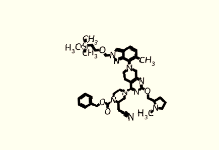 Cc1ccc2cn(COCC[Si](C)(C)C)nc2c1N1CCc2c(nc(OCC3CCCN3C)nc2N2CCN(C(=O)OCc3ccccc3)C(CC#N)C2)C1